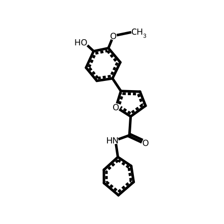 COc1cc(-c2ccc(C(=O)Nc3ccccc3)o2)ccc1O